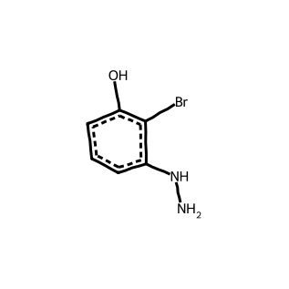 NNc1cccc(O)c1Br